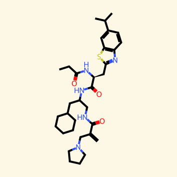 C=C(CN1CCCC1)C(=O)NCC(CC1CCCCC1)NC(=O)[C@H](Cc1nc2ccc(C(C)C)cc2s1)NC(=O)CC